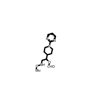 CC(C)(C)ONCC(OC=O)C1CCN(c2ncccn2)CC1